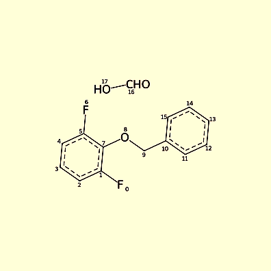 Fc1cccc(F)c1OCc1ccccc1.O=CO